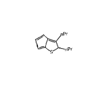 CCC[C]1SC2=CC=CC2=C1CCC